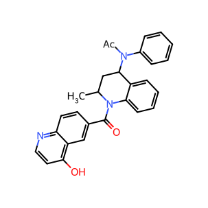 CC(=O)N(c1ccccc1)C1CC(C)N(C(=O)c2ccc3nccc(O)c3c2)c2ccccc21